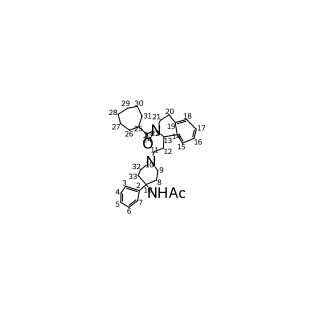 CC(=O)NC1(c2ccccc2)CCN(CCC2c3ccccc3CCN2C(=O)C2CCCCCC2)CC1